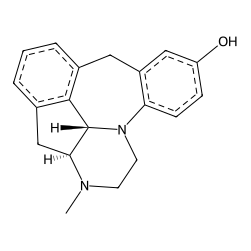 CN1CCN2c3ccc(O)cc3Cc3cccc4c3[C@H]2[C@@H]1C4